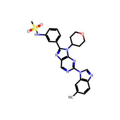 CS(=O)(=O)Nc1cccc(-c2nc3cnc(-n4cnc5ccc(C#N)cc54)nc3n2C2CCOCC2)c1